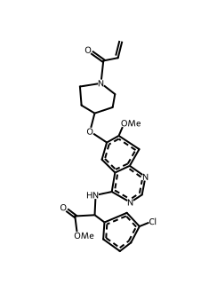 C=CC(=O)N1CCC(Oc2cc3c(NC(C(=O)OC)c4cccc(Cl)c4)ncnc3cc2OC)CC1